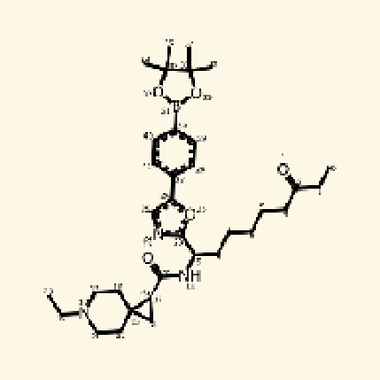 CCC(=O)CCCCCC(NC(=O)[C@H]1CC12CCN(CC)CC2)c1ncc(-c2ccc(B3OC(C)(C)C(C)(C)O3)cc2)o1